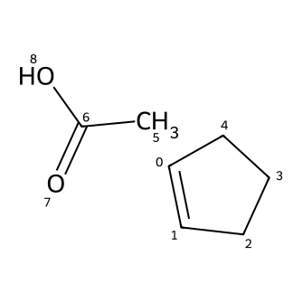 C1=CCCC1.CC(=O)O